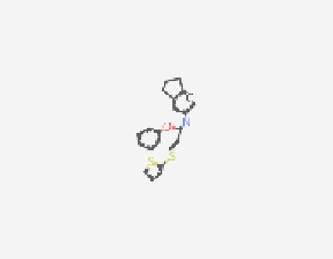 C(=CC(=Nc1ccc2c(c1)CCC2)Oc1ccccc1)Sc1cccs1